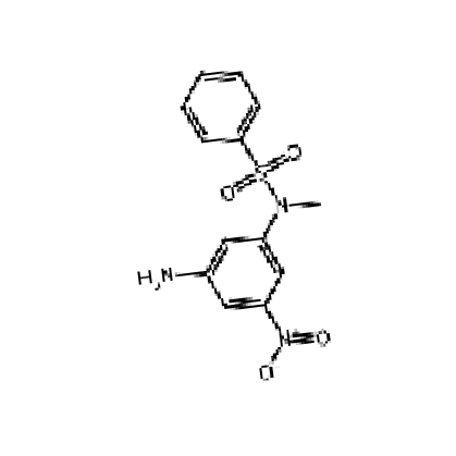 CN(c1cc(N)cc([N+](=O)[O-])c1)S(=O)(=O)c1ccccc1